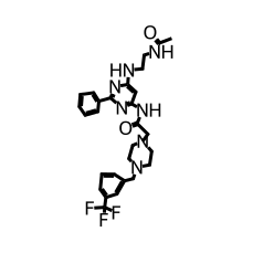 CC(=O)NCCNc1cc(NC(=O)CN2CCN(Cc3cccc(C(F)(F)F)c3)CC2)nc(-c2ccccc2)n1